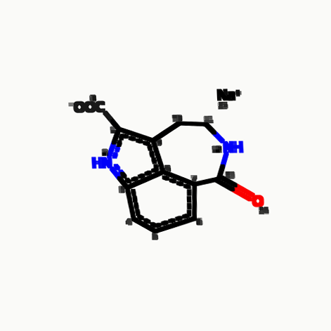 O=C([O-])c1[nH]c2cccc3c2c1CCNC3=O.[Na+]